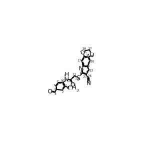 Cc1cc(C=O)ccc1NC(=O)CSc1nc2cc3c(cc2cc1C#N)OCCO3